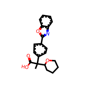 CC(C(=O)O)(c1ccc(-c2nc3ccccc3o2)cc1)C1CCCCO1